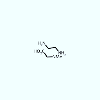 CNCC(=O)O.NCCN